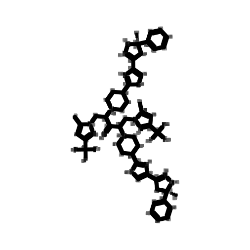 Cc1cc(C(F)(F)F)nn1CC(C(=O)C(Cn1nc(C(F)(F)F)cc1C)N1CCC(c2nc(C3=NO[C@@](C)(c4ccccc4)C3)cs2)CC1)N1CCC(c2nc(C3=NO[C@@](C)(c4ccccc4)C3)cs2)CC1